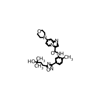 Cc1ccc(-c2noc(CCC(C)(C)O)n2)cc1NC(=O)c1cnc2cc(N3CCOCC3)ccn12